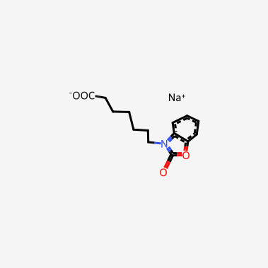 O=C([O-])CCCCCCn1c(=O)oc2ccccc21.[Na+]